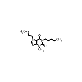 CCCCCn1c(=O)c2c(ncn2CCOC)n(C)c1=O